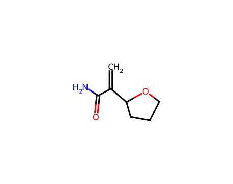 C=C(C(N)=O)C1CCCO1